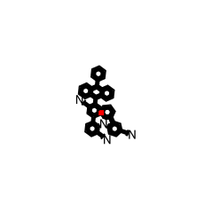 N#Cc1ccc2c(c1)c1ccccc1n2-c1c(C#N)cccc1-c1ccc(-c2c3ccccc3c(-c3ccccc3)c3ccccc23)c(C#N)c1